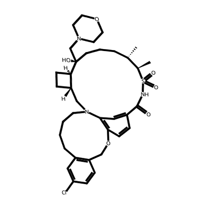 C[C@@H]1[C@@H](C)CCC[C@@](O)(CN2CCOCC2)[C@@H]2CC[C@H]2CN2CCCCc3cc(Cl)ccc3COc3ccc(cc32)C(=O)NS1(=O)=O